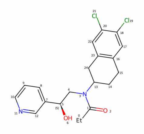 CCC(=O)N(C[C@@H](O)c1cccnc1)C1CCc2cc(Cl)c(Cl)cc2C1